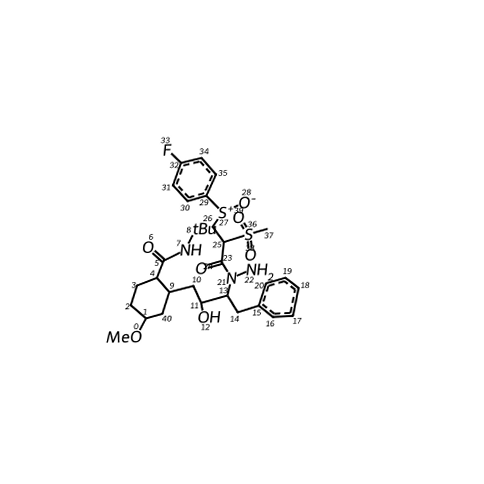 COC1CCC(C(=O)NC(C)(C)C)C(CC(O)C(Cc2ccccc2)N(N)C(=O)C(C[S+]([O-])c2ccc(F)cc2)S(C)(=O)=O)C1